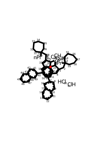 CCCC1(CC2=Cc3c(-c4ccc5ccccc5c4)cccc3[CH]2[Zr]([CH3])([CH3])(=[SiH2])[CH]2C(CC3(CCC)CCCCCC3)=Cc3c(-c4ccc5ccccc5c4)cccc32)CCCCCC1.Cl.Cl